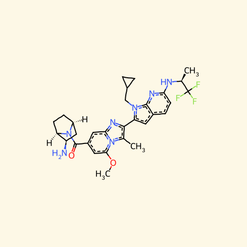 COc1cc(C(=O)N2[C@H]3CC[C@@H]2[C@H](N)C3)cc2nc(-c3cc4ccc(N[C@@H](C)C(F)(F)F)nc4n3CC3CC3)c(C)n12